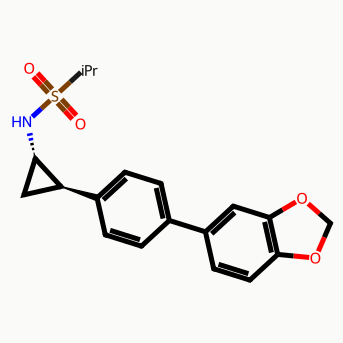 CC(C)S(=O)(=O)N[C@H]1C[C@@H]1c1ccc(-c2ccc3c(c2)OCO3)cc1